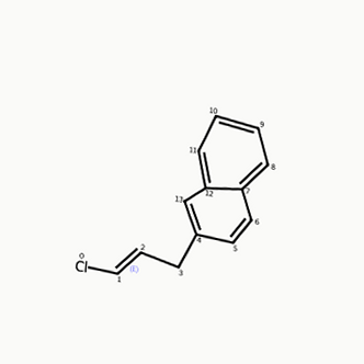 Cl/C=C/Cc1ccc2ccccc2c1